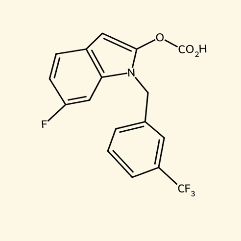 O=C(O)Oc1cc2ccc(F)cc2n1Cc1cccc(C(F)(F)F)c1